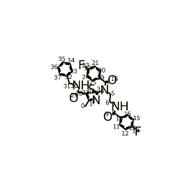 Cc1nc(N(CCNC(=O)c2ccc(F)cc2)C(=O)c2ccc(F)cc2)sc1C(=O)NCc1ccccc1